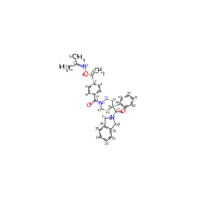 CC(C)=NOC(C)c1ccc(C(=O)N2CCC(C(=O)N3Cc4ccccc4C3)(c3ccccc3)CC2)cc1